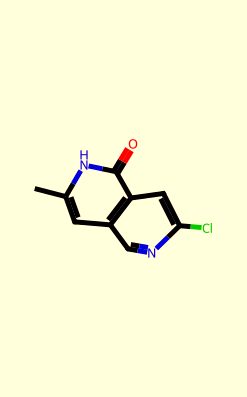 Cc1cc2cnc(Cl)cc2c(=O)[nH]1